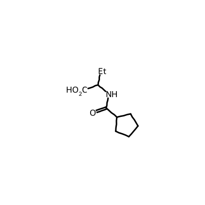 CCC(NC(=O)C1CCCC1)C(=O)O